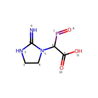 N=C1NCCN1C(P=O)C(=O)O